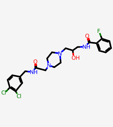 O=C(CN1CCN(CC(O)CNC(=O)c2ccccc2F)CC1)NCc1ccc(Cl)c(Cl)c1